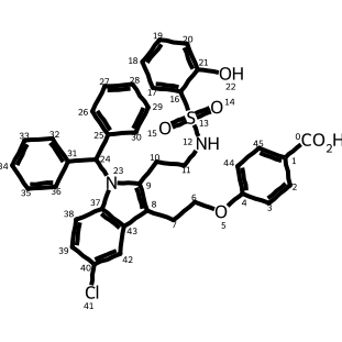 O=C(O)c1ccc(OCCc2c(CCNS(=O)(=O)c3ccccc3O)n(C(c3ccccc3)c3ccccc3)c3ccc(Cl)cc23)cc1